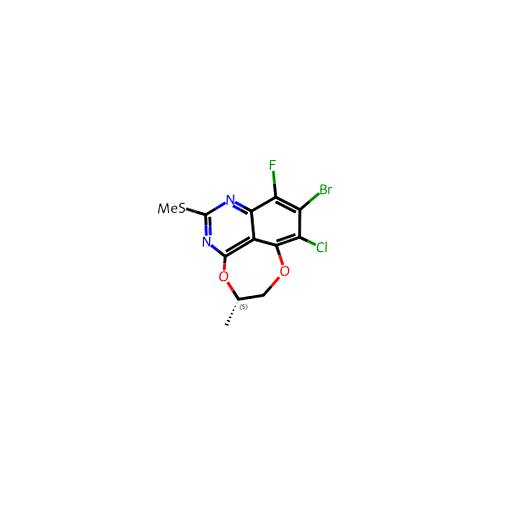 CSc1nc2c3c(c(Cl)c(Br)c(F)c3n1)OC[C@H](C)O2